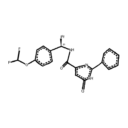 CC(C)[C@@H](NC(=O)c1cc(=O)[nH]c(-c2ccccc2)n1)c1ccc(OC(F)F)cc1